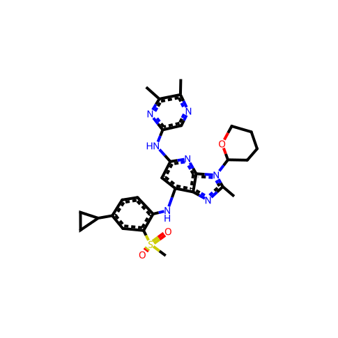 Cc1ncc(Nc2cc(Nc3ccc(C4CC4)cc3S(C)(=O)=O)c3nc(C)n(C4CCCCO4)c3n2)nc1C